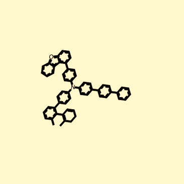 CC1=C(c2c(C)cccc2-c2ccc(N(c3ccc(-c4ccc(-c5ccccc5)cc4)cc3)c3ccc(-c4cccc5oc6ccccc6c45)cc3)cc2)C=CCC1